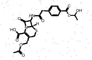 CC(=O)OCC1=C(C(=O)O)N2C(=O)C(NC(=O)Cc3ccc(C(=O)OC(C)O)cc3)[C@@H]2SC1